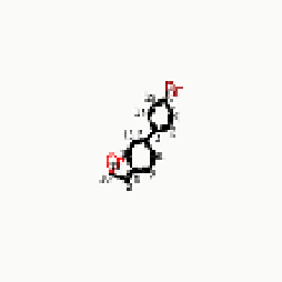 Brc1ccc(-c2ccc3ccoc3c2)cc1